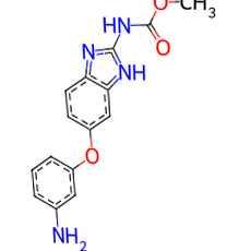 COC(=O)Nc1nc2ccc(Oc3cccc(N)c3)cc2[nH]1